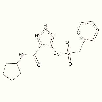 O=C(NC1CCCC1)c1n[nH]cc1NS(=O)(=O)Cc1ccccc1